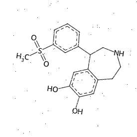 CS(=O)(=O)c1cccc(C2CNCCc3cc(O)c(O)cc32)c1